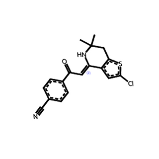 CC1(C)Cc2sc(Cl)cc2/C(=C/C(=O)c2ccc(C#N)cc2)N1